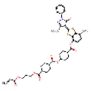 C=CC(=O)OCCCOC(=O)C1CCC(C(=O)OC2CCC(C(=O)Oc3ccc(OC(C)=O)c4c3S/C(=C3/C(=O)N(c5ccccc5)N=C3C(=O)OCC)S4)CC2)CC1